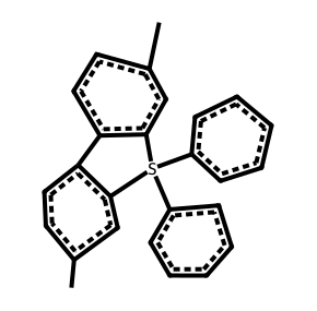 Cc1ccc2c(c1)S(c1ccccc1)(c1ccccc1)c1cc(C)ccc1-2